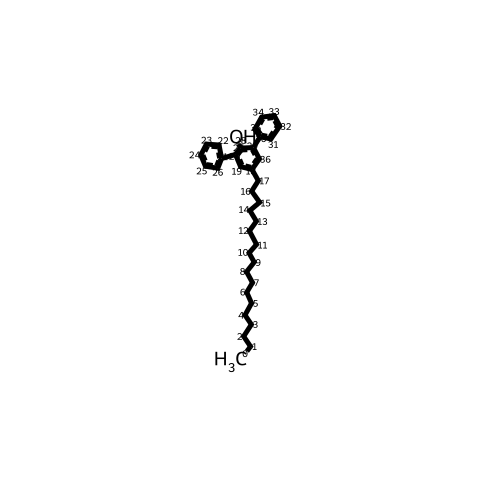 CCCCCCCCCCCCCCCCCCc1cc(-c2ccccc2)c(O)c(-c2ccccc2)c1